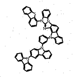 c1cc(-n2c3ccccc3c3cc(-n4c5ccccc5c5ccccc54)ccc32)cc(-n2c3ccccc3c3ccc4c(nc5n(-c6cccc7c6sc6ccccc67)c6ccccc6n45)c32)c1